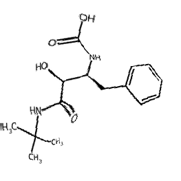 CC(C)(C)NC(=O)C(O)[C@H](Cc1ccccc1)NC(=O)O